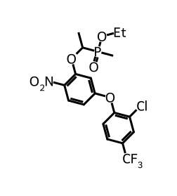 CCOP(C)(=O)C(C)Oc1cc(Oc2ccc(C(F)(F)F)cc2Cl)ccc1[N+](=O)[O-]